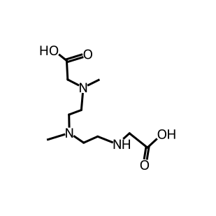 CN(CCNCC(=O)O)CCN(C)CC(=O)O